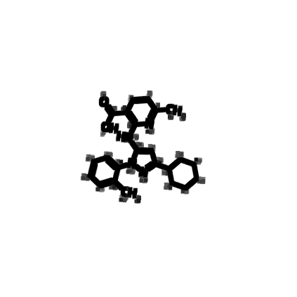 Cc1ccc(C(=O)O)c(Nc2cc(C3CCCCC3)nn2-c2ccccc2C)n1